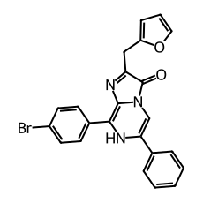 O=c1c(Cc2ccco2)nc2c(-c3ccc(Br)cc3)[nH]c(-c3ccccc3)cn1-2